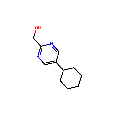 OCc1ncc(C2CCCCC2)cn1